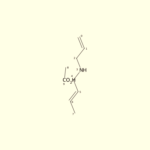 C=CCNCC=CC.CC(=O)O